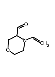 C=CN1CCOCC1C=O